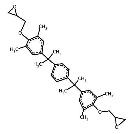 Cc1cc(C(C)(C)c2ccc(C(C)(C)c3cc(C)c(OCC4CO4)c(C)c3)cc2)cc(C)c1OCC1CO1